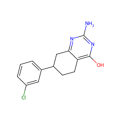 Nc1nc(O)c2c(n1)CC(c1cccc(Cl)c1)CC2